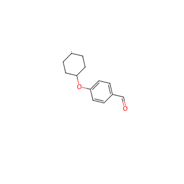 O=Cc1ccc(OC2CC[CH]CC2)cc1